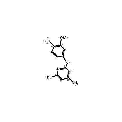 COc1cc(Sc2nc(C)cc(N)n2)ccc1[N+](=O)[O-]